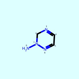 NN1CN=CC=N1